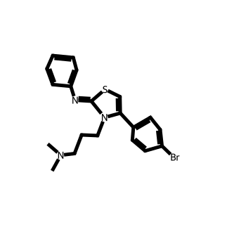 CN(C)CCCn1c(-c2ccc(Br)cc2)csc1=Nc1ccccc1